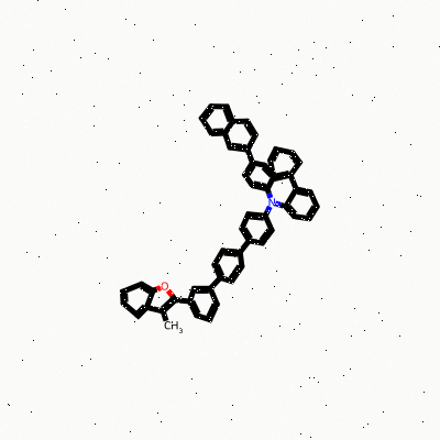 Cc1c(-c2cccc(-c3ccc(-c4ccc(N(c5ccc(-c6ccc7ccccc7c6)cc5)c5ccccc5-c5ccccc5)cc4)cc3)c2)oc2ccccc12